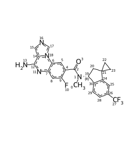 CN(C(=O)c1cc2c(cc1F)nc(N)c1cncn12)[C@@H]1CC2(CC2)c2cc(C(F)(F)F)ccc21